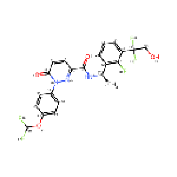 C[C@@H](NC(=O)c1ccc(=O)n(-c2ccc(OC(F)F)cc2)n1)c1cccc(C(F)(F)CO)c1F